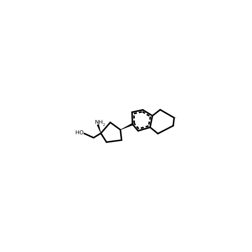 N[C@]1(CO)CC[C@H](c2ccc3c(c2)CC[CH]C3)C1